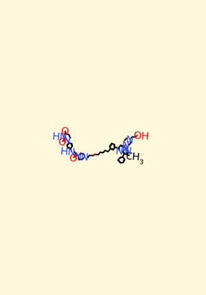 Cc1nn2c(N3CCN(CCO)CC3)cc(-c3cccc(CCCCCCCCCN4CCN(C(=O)CNc5ccc(N6CCC(=O)NC6=O)cc5)CC4)c3)nc2c1-c1ccccc1